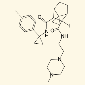 Cc1ccc(C2(NC(=O)C3C4CCC(C45CC5)C3(I)C(=O)NCCN3CCN(C)CC3)CC2)cc1